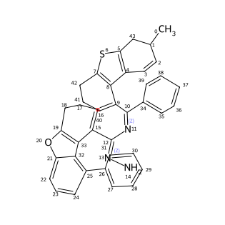 CC1C=Cc2c(sc3c2C(/C(=N\C(=N/N)C2=CCCc4oc5cccc(-c6ccccc6)c5c42)c2ccccc2)=CCC3)C1